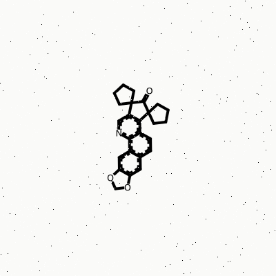 O=C1C2(CCCC2)c2cnc3c(ccc4cc5c(cc43)OCO5)c2C12CCCC2